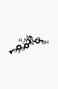 Nc1nccn2c(C3CCC(CO)OC3)nc(-c3ccc(Oc4cccc(OCC5CC5)c4F)cc3)c12